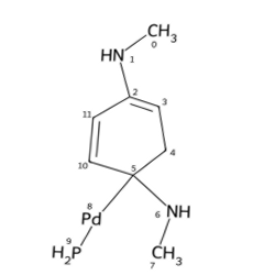 CNC1=CC[C](NC)([Pd][PH2])C=C1